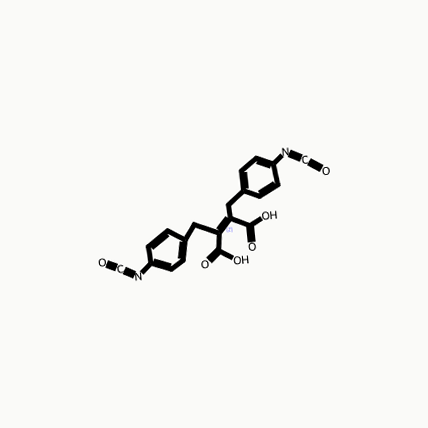 O=C=Nc1ccc(C/C(C(=O)O)=C(\Cc2ccc(N=C=O)cc2)C(=O)O)cc1